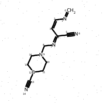 C=N/C=C\C(C#N)=N/CN1CCB(C#N)CC1